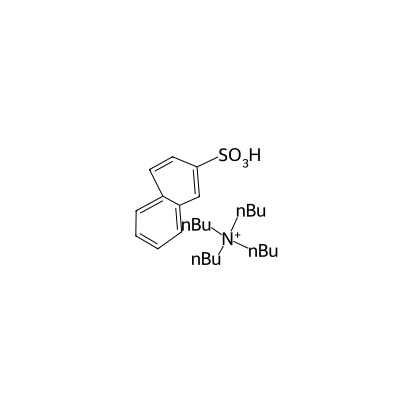 CCCC[N+](CCCC)(CCCC)CCCC.O=S(=O)(O)c1ccc2ccccc2c1